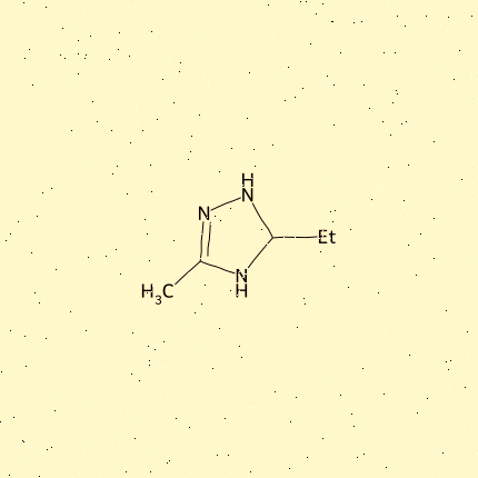 CCC1NN=C(C)N1